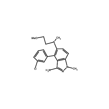 COCCN(C)c1ccc2c(c(N)nn2C)c1-c1cccc(Cl)c1